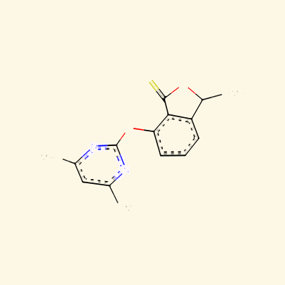 COc1cc(OC)nc(Oc2cccc3c2C(=S)OC3OC)n1